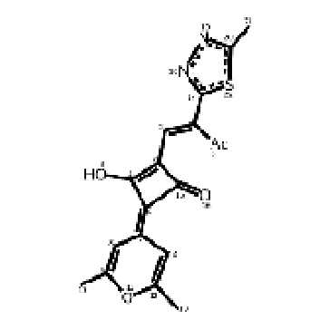 CC(=O)/C(=C\C1=C(O)C(=C2C=C(C)OC(C)=C2)C1=O)c1nnc(C)s1